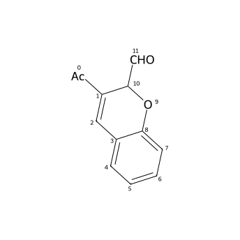 CC(=O)C1=Cc2ccccc2OC1C=O